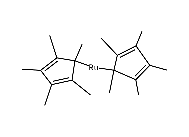 CC1=C(C)[C](C)([Ru][C]2(C)C(C)=C(C)C(C)=C2C)C(C)=C1C